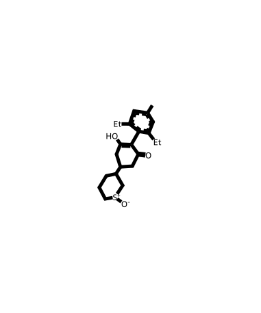 CCc1cc(C)cc(CC)c1C1=C(O)CC(C2CCC[S+]([O-])C2)CC1=O